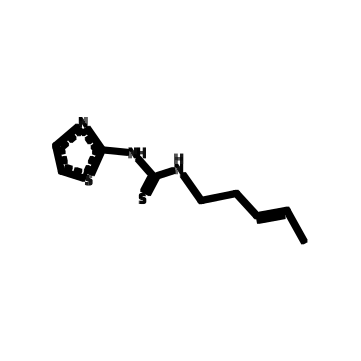 CC=CCCNC(=S)Nc1nccs1